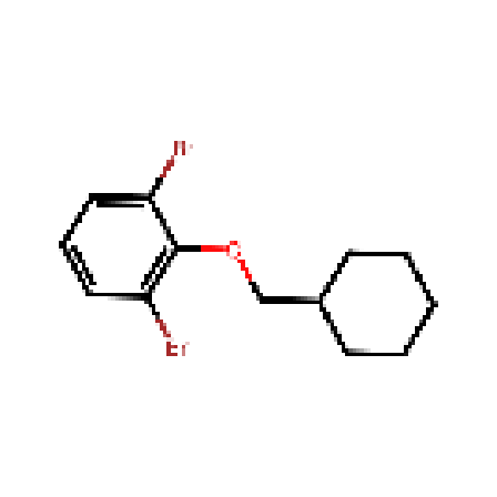 Brc1cccc(Br)c1OCC1CCCCC1